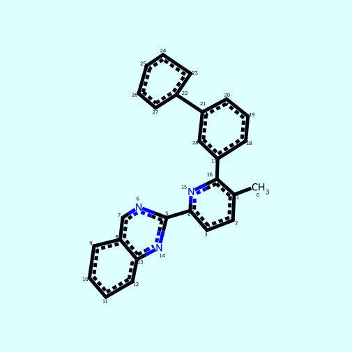 Cc1ccc(-c2ncc3ccccc3n2)nc1-c1cccc(-c2ccccc2)c1